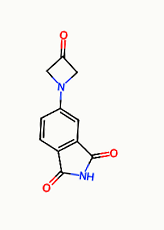 O=C1CN(c2ccc3c(c2)C(=O)NC3=O)C1